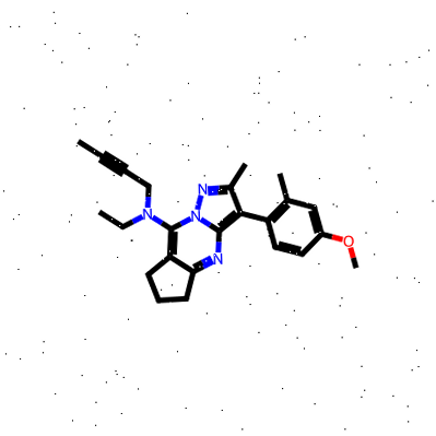 CC#CCN(CC)c1c2c(nc3c(-c4ccc(OC)cc4C)c(C)nn13)CCC2